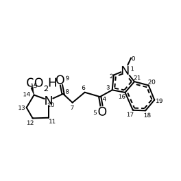 Cn1cc(C(=O)CCC(=O)N2CCC[C@H]2C(=O)O)c2ccccc21